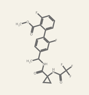 COC(=O)c1c(F)cccc1-c1ccc(C(C)NC(=O)C2(NC(=O)C(F)(F)F)CC2)cc1F